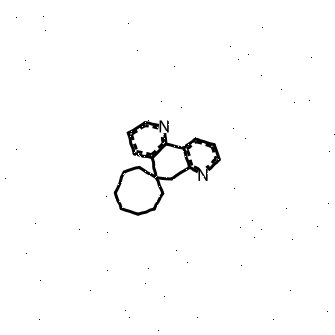 c1cnc2c(c1)-c1ncccc1C1(CCCCCCC1)C2